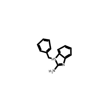 NC1=Nc2ccccc2[SH]1Cc1ccccc1